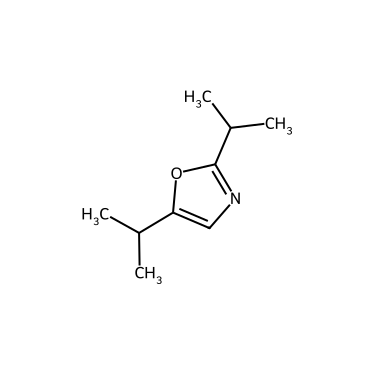 CC(C)c1cnc(C(C)C)o1